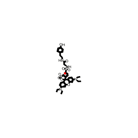 CCN(CC)c1ccc2c(c1)Oc1cc(N(CC)CC)ccc1C21OS(=O)(=O)c2cc(S(=O)(=O)NCC(=O)NCCc3ccc(O)cc3)ccc21